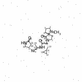 CN1CCC[C@]12CCN([C@H](CC1CC1)C(=O)N[C@H](C#N)C[C@@H]1CCNC1=O)C2=O